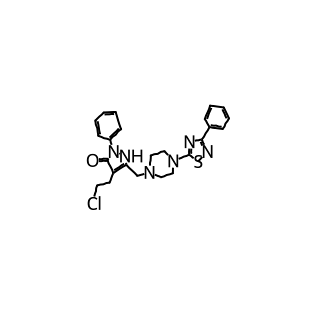 O=c1c(CCCl)c(CN2CCN(c3nc(-c4ccccc4)ns3)CC2)[nH]n1-c1ccccc1